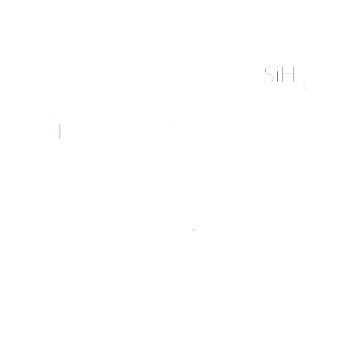 [SiH3]CCc1ccccc1I